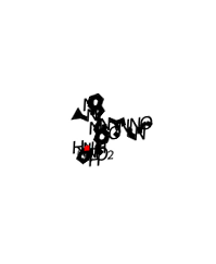 COc1nccc(N2CC(Cn3c(-c4cc5cccnc5n4CC4CC4)nc4cc(C(=O)N5C[C@H]6CC[C@@H]5[C@@H]6N)cc(OC)c43)C2)n1